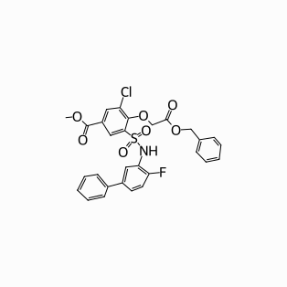 COC(=O)c1cc(Cl)c(OCC(=O)OCc2ccccc2)c(S(=O)(=O)Nc2cc(-c3ccccc3)ccc2F)c1